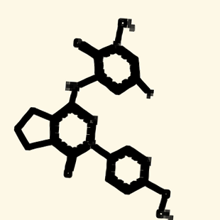 COc1ccc(-n2nc(Nc3cc(F)cn(C)c3=O)c3c(c2=O)CCC3)cn1